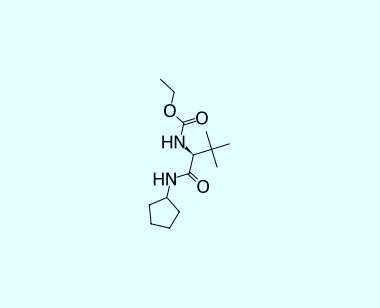 CCOC(=O)N[C@H](C(=O)NC1CCCC1)C(C)(C)C